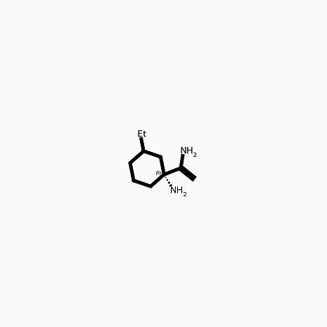 C=C(N)[C@@]1(N)CCCC(CC)C1